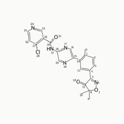 Cc1ccc(C2=NOC(C)(C)C2=O)cc1-c1cnc(NC(=O)c2cnccc2Cl)cn1